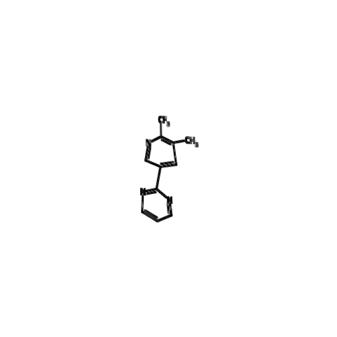 Cc1cc(-c2ncccn2)cnc1C(F)(F)F